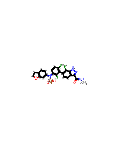 CNC(=O)c1n[nH]c2c(F)c(-c3c(F)ccc(N(c4ccc5c(c4)OCC5)[SH](=O)=O)c3F)ccc12